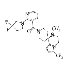 CN1CCn2c(C(F)(F)F)ccc2C12CCN(C(=O)c1cccnc1N1CCC(F)(F)C1)CC2